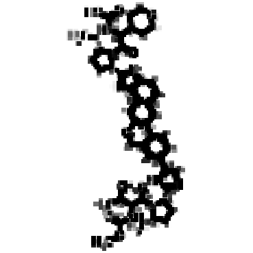 CC[C@H]1CC[C@@H](c2nc3ccc4cc5c(cc4c3[nH]2)OCc2cc(-c3cnc([C@@H]4CC[C@H](C)N4C(=O)C(NC(=O)OC)C(C)C)[nH]3)ccc2-5)N1C(=O)C(NC(=O)O)C1CCOCC1